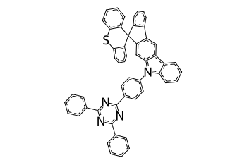 c1ccc(-c2nc(-c3ccccc3)nc(-c3ccc(-n4c5ccccc5c5cc6c(cc54)C4(c5ccccc5Sc5ccccc54)c4ccccc4-6)cc3)n2)cc1